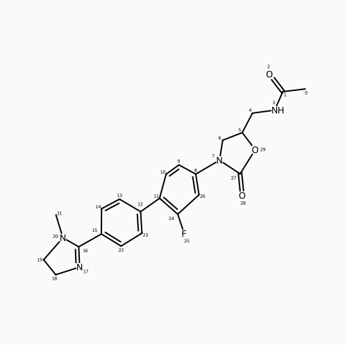 CC(=O)NCC1CN(c2ccc(-c3ccc(C4=NCCN4C)cc3)c(F)c2)C(=O)O1